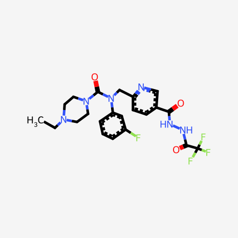 CCN1CCN(C(=O)N(Cc2ccc(C(=O)NNC(=O)C(F)(F)F)cn2)c2cccc(F)c2)CC1